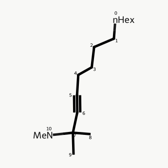 [CH2]CCCCCCCCCC#CC(C)(C)NC